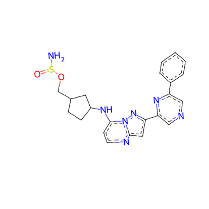 NS(=O)OCC1CCC(Nc2ccnc3cc(-c4cncc(-c5ccccc5)n4)nn23)C1